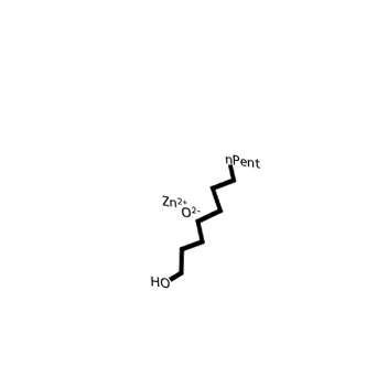 CCCCCCCCCCCCO.[O-2].[Zn+2]